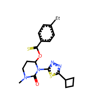 CCc1ccc(C(=S)OC2CCN(C)C(=O)N2c2nnc(C3CCC3)s2)cc1